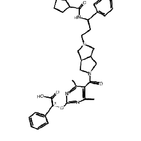 Cc1nc(O[C@@H](C(=O)O)c2ccccc2)nc(C)c1C(=O)N1CC2CN(CCC(NC(=O)C3CCCC3)c3ccccc3)CC2C1